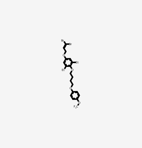 CCc1cc(OCC=C(Br)Br)cc(CC)c1OCCCCOc1ccc(OC(F)(F)F)cc1